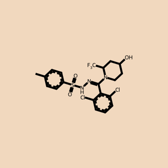 Cc1ccc(S(=O)(=O)N/N=C(\c2c(Cl)cccc2Cl)N2CCC(O)CC2C(F)(F)F)cc1